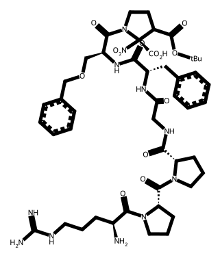 CC(C)(C)OC(=O)C1CCN(C(=O)[C@H](COCc2ccccc2)NC(=O)[C@H](Cc2ccccc2)NC(=O)CNC(=O)[C@@H]2CCCN2C(=O)[C@@H]2CCCN2C(=O)[C@@H](N)CCCNC(=N)N)[C@@]1(C(=O)O)[N+](=O)[O-]